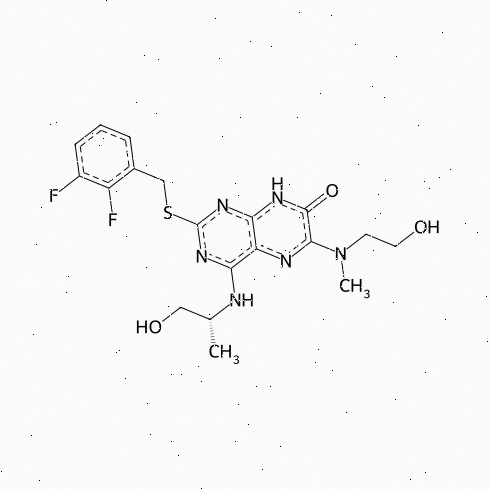 C[C@H](CO)Nc1nc(SCc2cccc(F)c2F)nc2[nH]c(=O)c(N(C)CCO)nc12